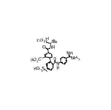 CC(C)(C)[C@H](CC(=O)O)NC(=O)c1ccc(-c2ccccc2C(=O)Nc2ccc(C(=N)N)cc2)c(C(=O)O)c1.CS(=O)(=O)O